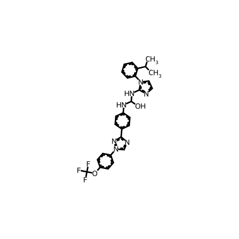 CC(C)c1ccccc1-n1ccnc1NC(O)Nc1ccc(-c2ncn(-c3ccc(OC(F)(F)F)cc3)n2)cc1